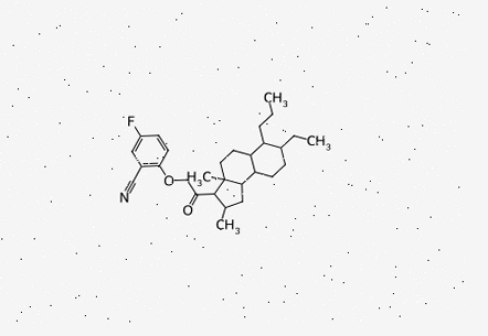 CCCC1C(CC)CCC2C1CCC1(C)C2CC(C)C1C(=O)COc1ccc(F)cc1C#N